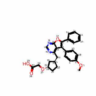 COc1ccc(-c2c(-c3ccccc3)oc3ncnc(C[C@H]4CC[C@H](OCC(=O)O)C4)c23)cc1